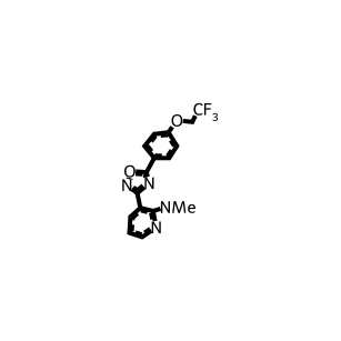 CNc1ncccc1-c1noc(-c2ccc(OCC(F)(F)F)cc2)n1